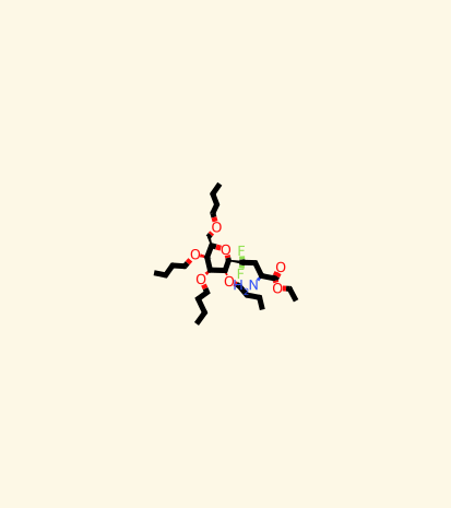 CCCCOC[C@H]1O[C@@H](C(F)(F)C[C@H](N)C(=O)OCC)[C@H](OCCCC)[C@@H](OCCCC)[C@H]1OCCCC